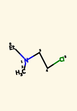 CCN(C)CCCl